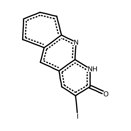 O=c1[nH]c2nc3ccccc3cc2cc1I